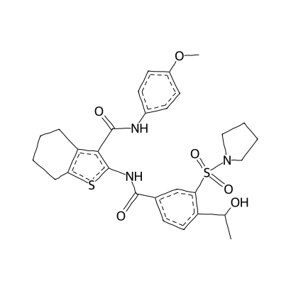 COc1ccc(NC(=O)c2c(NC(=O)c3ccc(C(C)O)c(S(=O)(=O)N4CCCC4)c3)sc3c2CCCC3)cc1